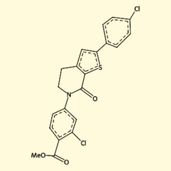 COC(=O)c1ccc(N2CCc3cc(-c4ccc(Cl)cc4)sc3C2=O)cc1Cl